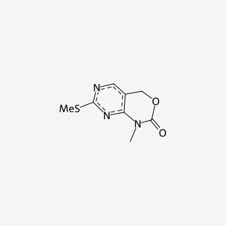 CSc1ncc2c(n1)N(C)C(=O)OC2